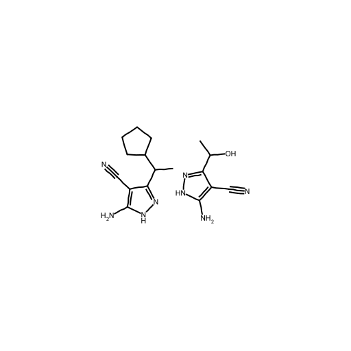 CC(O)c1n[nH]c(N)c1C#N.CC(c1n[nH]c(N)c1C#N)C1CCCC1